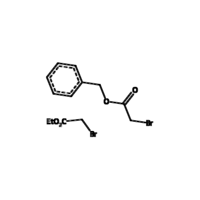 CCOC(=O)CBr.O=C(CBr)OCc1ccccc1